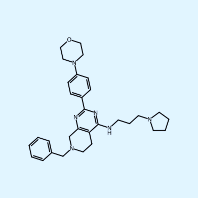 c1ccc(CN2CCc3c(nc(-c4ccc(N5CCOCC5)cc4)nc3NCCCN3CCCC3)C2)cc1